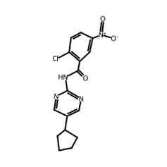 O=C(Nc1ncc(C2CCCC2)cn1)c1cc([N+](=O)[O-])ccc1Cl